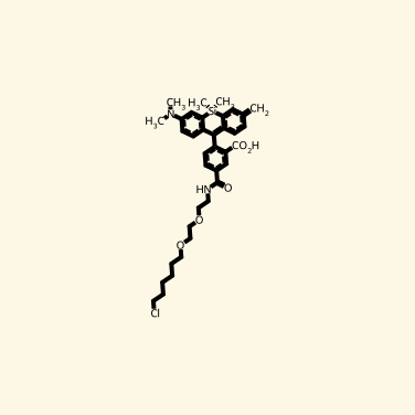 C=c1ccc2c(c1)[Si](C)(C)c1cc(N(C)C)ccc1C=2c1ccc(C(=O)NCCOCCOCCCCCCCl)cc1C(=O)O